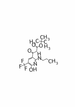 CCCNc1nc(O)c(C(F)(F)F)cc1C(=O)CC(=O)OC(C)(C)C